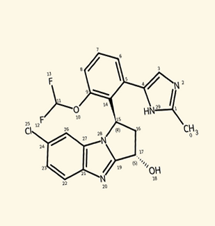 Cc1ncc(-c2cccc(OC(F)F)c2[C@H]2C[C@H](O)c3nc4ccc(Cl)cc4n32)[nH]1